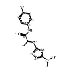 CC(Oc1nc([S+](C)[O-])ns1)C(=O)Nc1ccc(F)cc1